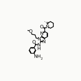 COCCCn1c(NC(=O)c2cccc(N)c2)nc2ccc(C(=O)N3CCCC[C@H]3C)nc21